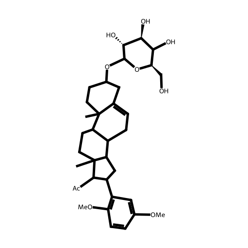 COc1ccc(OC)c(C2CC3C4CC=C5CC(OC6O[C@H](CO)C(O)[C@H](O)[C@H]6O)CCC5(C)C4CCC3(C)C2C(C)=O)c1